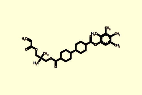 C=CC(=O)OCC(C)(C)COC(=O)C1CCC(C2CCC(C(=O)Oc3cc(C)c(C)c(C)c3C)CC2)CC1